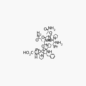 CC(C)C[C@H](N)C(=O)N1CCC[C@H]1C(=O)N[C@@H](CCC(N)=O)C(=O)N[C@@H](CCC(N)=O)C(=O)N1CCC[C@H]1C(=O)N[C@@H](Cc1ccccc1)C(=O)N1CCC[C@H]1C(=O)N[C@H](C(=O)O)C(C)C